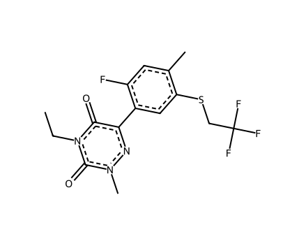 CCn1c(=O)c(-c2cc(SCC(F)(F)F)c(C)cc2F)nn(C)c1=O